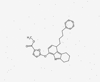 COC(=O)c1ccc(OC2=C3N=C4CCCCC4=C3C(CCCCc3ccccc3)C=C2)o1